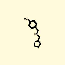 Cc1ccc(CNCC2CCCO2)cc1